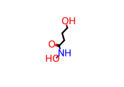 O=C(CCCO)NO